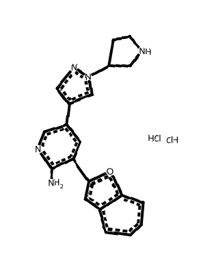 Cl.Cl.Nc1ncc(-c2cnn(C3CCNC3)c2)cc1-c1cc2ccccc2o1